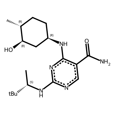 C[C@@H]1CC[C@@H](Nc2nc(N[C@@H](C)C(C)(C)C)ncc2C(N)=O)C[C@H]1O